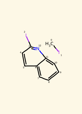 CI.Ic1ccc2ccccc2n1